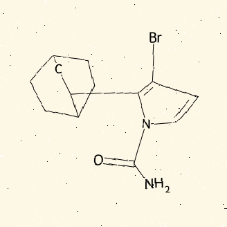 NC(=O)n1ccc(Br)c1C1CC2CCC1CC2